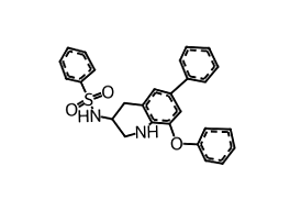 O=S(=O)(NC1CNc2c(cc(-c3ccccc3)cc2Oc2ccccc2)C1)c1ccccc1